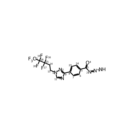 N=[N+]=NC(=O)c1ccc(-c2ncn(CCC(F)(F)C(F)(F)C(F)(F)F)n2)cc1